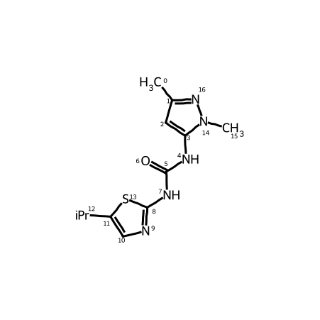 Cc1cc(NC(=O)Nc2ncc(C(C)C)s2)n(C)n1